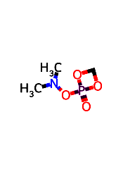 CN(C)OP1(=O)OCO1